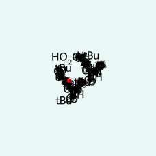 CC(C)(C)OC(=O)NCC(C(=O)Nc1ccc(-c2cn(C(=O)O)nc2C(C)(C)C)cc1)n1cc(-c2ccccc2)nn1.CC(C)(C)OC(=O)NCC(C(=O)Nc1ccc(-c2cnn(C(=O)OC(C)(C)C)c2)cc1)n1cc(-c2ccccc2)nn1